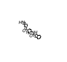 O=C(Nc1ccc(C(=O)N2CCC3(CNC3)C2)nn1)N1Cc2ccccc2C1